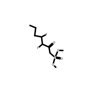 CCCC(F)C(F)C(=O)CP(=O)(OC)OC